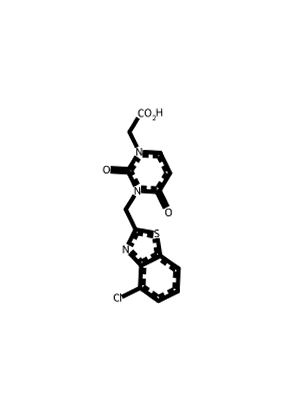 O=C(O)Cn1ccc(=O)n(Cc2nc3c(Cl)cccc3s2)c1=O